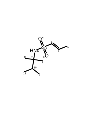 C/C=C/S(=O)(=O)NC(C)(C)C(C)C